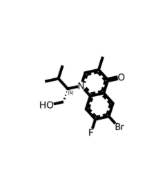 Cc1cn([C@H](CO)C(C)C)c2cc(F)c(Br)cc2c1=O